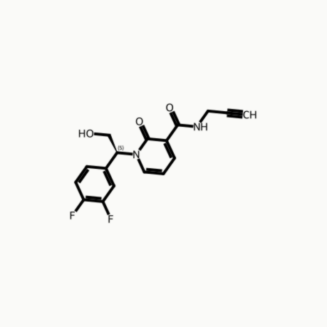 C#CCNC(=O)c1cccn([C@H](CO)c2ccc(F)c(F)c2)c1=O